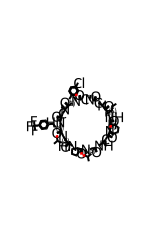 CC[C@H](C)[C@@H]1NC(=O)[C@@H]2CCCCN2C(=O)C[C@@H](C)NC(=O)[C@H](CC(C)C)N(C)C(=O)C2(CCCC2)NC(=O)[C@H](CC(C)C)N(C)C(=O)[C@H](CCc2ccc(C(F)(F)F)cc2)NC(=O)CN(C)C(=O)[C@H](Cc2ccc(Cl)cc2)N(C)C(=O)CN(C)C(=O)CN(C)C1=O